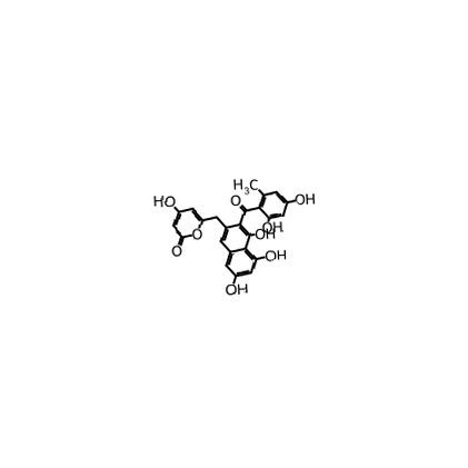 Cc1cc(O)cc(O)c1C(=O)c1c(Cc2cc(O)cc(=O)o2)cc2cc(O)cc(O)c2c1O